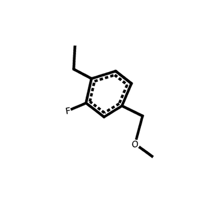 CCc1ccc(COC)cc1F